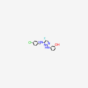 Oc1cccc(Nc2ncc(F)c(NCc3ccc(Cl)cc3)n2)c1